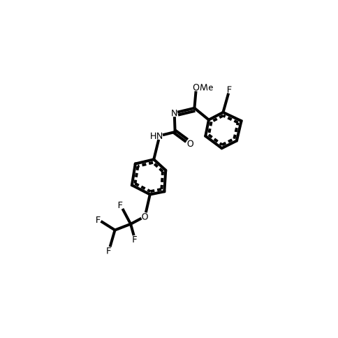 COC(=NC(=O)Nc1ccc(OC(F)(F)C(F)F)cc1)c1ccccc1F